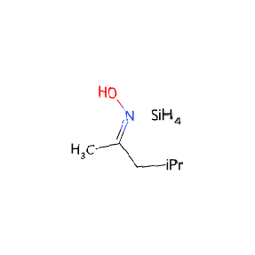 CC(CC(C)C)=NO.[SiH4]